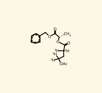 [2H]C([2H])(CC([2H])([2H])C(=O)O[C@@H](C)C(=O)OCc1ccccc1)OC(C)=O